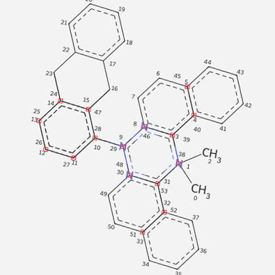 CC1(C)c2ccccc2N(c2cccc3c2C2c4ccccc4C3c3cccc(-c4nc(-c5ccccc5)nc(-c5ccccc5)n4)c32)c2ccccc21